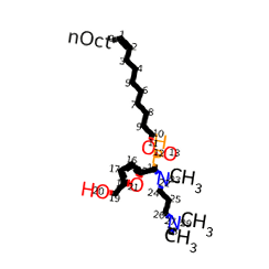 CCCCCCCC/C=C\CCCCCCCCO[PH](=O)C(c1ccc(CO)o1)N(C)CCCN(C)C